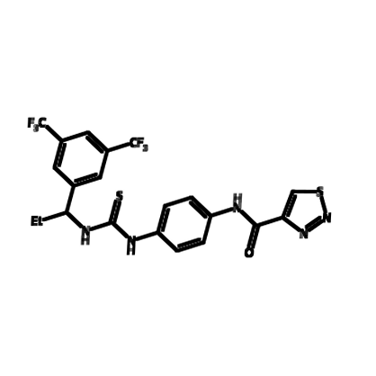 CCC(NC(=S)Nc1ccc(NC(=O)c2csnn2)cc1)c1cc(C(F)(F)F)cc(C(F)(F)F)c1